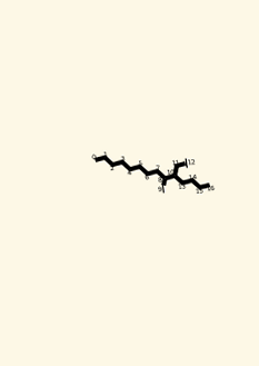 CCCCCCCCC(I)C(CI)CCCC